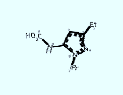 CCc1cc(NC(=O)O)n(C(C)C)n1